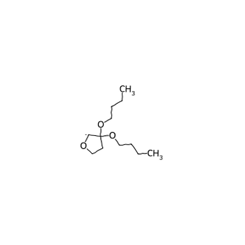 CCCCOC1(OCCCC)[CH]OCC1